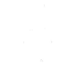 CS(=O)(=O)NC(=O)c1cc(F)c(Oc2c(F)cc(F)cc2F)cc1F